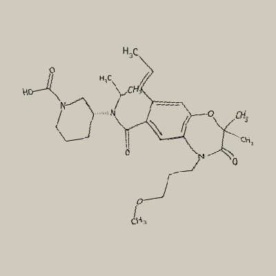 CC=Cc1cc2c(cc1C(=O)N(C(C)C)[C@@H]1CCCN(C(=O)O)C1)N(CCCOC)C(=O)C(C)(C)O2